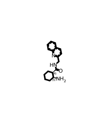 N[C@H]1CCCC[C@H]1C(=O)NCc1ccc2ccccc2n1